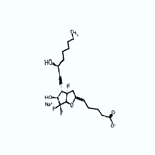 CCCCCC[C@H](O)C#C[C@@H]1[C@H]2C/C(=C/CCCC(=O)[O-])OC2C(F)(F)[C@H]1O.[Na+]